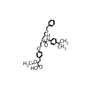 CCOC(Cc1ccc(OCCN(CCCSCc2ccccc2)C(=O)Nc2ccc(C(C)C)cc2)cc1)C(=O)O